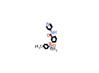 Cc1ccc(N(C)S(=O)(=O)c2cccc(C(=O)Nc3ccncc3)c2)cc1